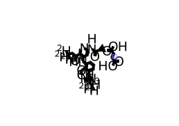 O=C(O)/C=C/C(=O)O.[2H]C([2H])([2H])CC(=O)c1cnc(NC(=O)C2CC2)cc1Nc1cccc(-c2ncn(C([2H])([2H])[2H])n2)c1OC